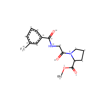 CC(C)(C)OC(=O)C1CCCN1C(=O)CNC(=O)c1cccc(C(F)(F)F)c1